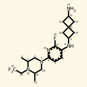 CC1CN(c2ccc(NC3CC4(CC(N)C4)C3)c(F)n2)CC(C)N1CC(F)(F)F